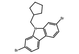 Brc1ccc2c3ccc(Br)cc3n(CC3CCCC3)c2c1